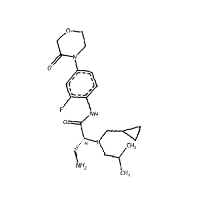 CC(C)CN(CC1CC1)[C@H](CN)C(=O)Nc1ccc(N2CCOCC2=O)cc1F